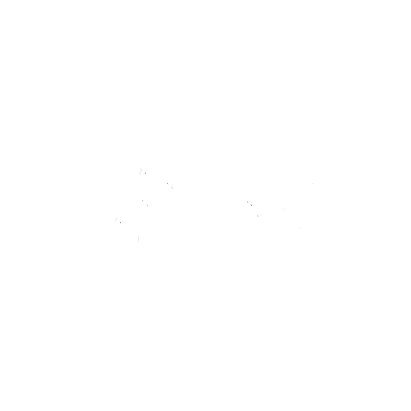 Cc1cnc(NC[C@H]2CC[C@@H](NC(=O)c3cccc(C(F)(F)F)c3)CC2)nc1N(C)C